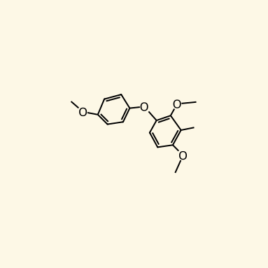 COc1ccc(Oc2ccc(OC)c(C)c2OC)cc1